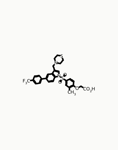 Cc1cc(S(=O)(=O)n2cc(CN3CCSCC3)c3cc(-c4ccc(C(F)(F)F)cc4)ccc32)ccc1OCC(=O)O